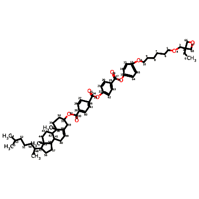 CCC1(COCCCCCCOc2ccc(OC(=O)c3ccc(OC(=O)c4ccc(C(=O)OC5CCC6(C)C(=CCC7C6CCC6(C)C(C(C)CCCC(C)C)CCC76)C5)cc4)cc3)cc2)COC1